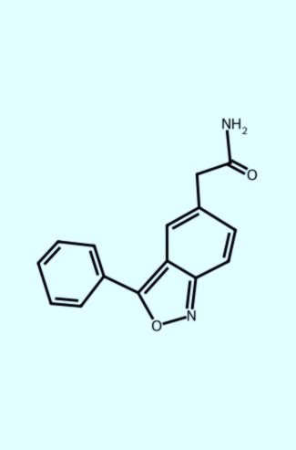 NC(=O)Cc1ccc2noc(-c3ccccc3)c2c1